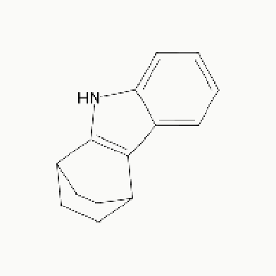 c1ccc2c3c([nH]c2c1)C1CCC3CC1